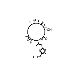 C/C(=C\c1csc(CO)n1)C1C[C@@H]2O[C@]2(C)CCC[C@H](C)[C@H](O)[C@@H](C)C(=O)C(C)(C)[C@@H](O)CC(=O)N1